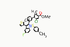 COC(=O)c1cc(Cl)c(-c2cccc(-c3c(-c4ccsc4C#N)c4cc(F)ccc4n3Sc3ccc(C)cc3)c2)cc1C